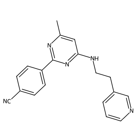 Cc1cc(NCCc2cccnc2)nc(-c2ccc(C#N)cc2)n1